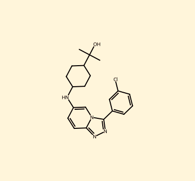 CC(C)(O)C1CCC(Nc2ccc3nnc(-c4cccc(Cl)c4)n3c2)CC1